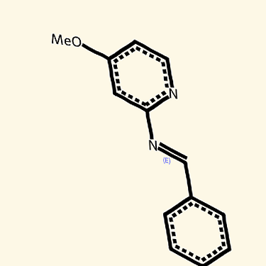 COc1ccnc(/N=C/c2ccccc2)c1